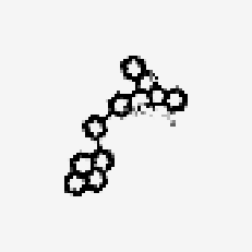 CC1(C)c2ccccc2-c2nc3ccccc3c(-c3ccc(-c4cccc(-c5ccc6ccc7cccc8ccc5c6c78)c4)cc3)c21